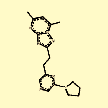 Cc1cc(C)n2nc(CCc3cncc(N4CCCC4)n3)nc2n1